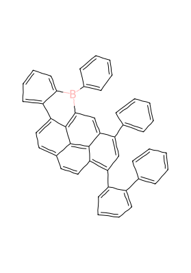 c1ccc(B2c3ccccc3-c3ccc4ccc5c(-c6ccccc6-c6ccccc6)cc(-c6ccccc6)c6cc2c3c4c65)cc1